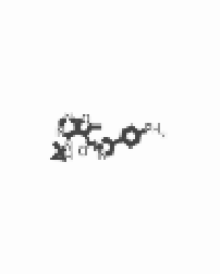 Cc1oc2ncnc(NC3(C)CC3)c2c1C(=O)n1cc(-c2ccc(P)cc2)cn1